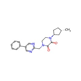 C[C@H]1CC[C@H](N2CCN(Cc3ncc(-c4ccccc4)cn3)C(=O)C2=O)C1